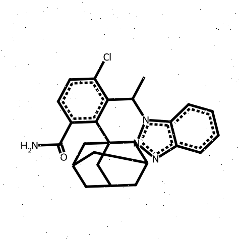 CC(c1c(Cl)ccc(C(N)=O)c1C12CC3CC(CC(C3)C1)C2)n1nnc2ccccc21